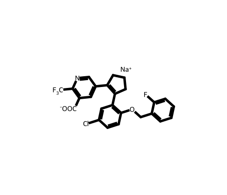 O=C([O-])c1cc(C2=C(c3cc(Cl)ccc3OCc3ccccc3F)CCC2)cnc1C(F)(F)F.[Na+]